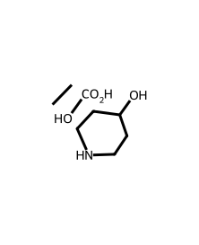 CC.O=C(O)O.OC1CCNCC1